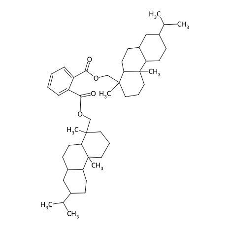 CC(C)C1CCC2C(CCC3C(C)(COC(=O)c4ccccc4C(=O)OCC4(C)CCCC5(C)C6CCC(C(C)C)CC6CCC45)CCCC23C)C1